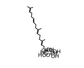 CC(C)=CCC/C=C/CC/C(C)=C/CC/C(C)=C/CO[PH](O)(O)O[PH](O)(O)O